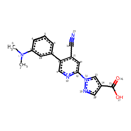 CN(C)c1cccc(-c2cnc(-n3cc(C(=O)O)cn3)cc2C#N)c1